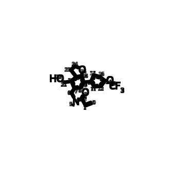 C=CC(=O)N(C)Cc1cc(-c2ccc(OC(F)(F)F)cc2)c2c(c1CO)CCO2